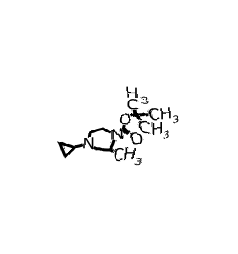 CC1CN(C2CC2)CCN1C(=O)OC(C)(C)C